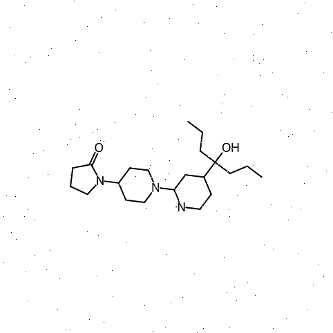 CCCC(O)(CCC)C1CC[N]C(N2CCC(N3CCCC3=O)CC2)C1